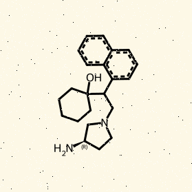 N[C@@H]1CCN(CC(c2cccc3ccccc23)C2(O)CCCCC2)C1